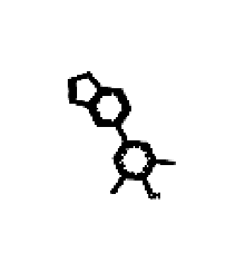 Cc1cc(-c2ccc3c(c2)C=CC3)cc(C)c1O